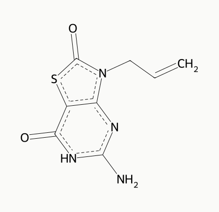 C=CCn1c(=O)sc2c(=O)[nH]c(N)nc21